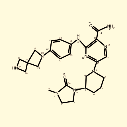 CN1CCN([C@@H]2CCCN(c3cnc(C(N)=O)c(Nc4ccc(N5CC6(CNC6)C5)cc4)n3)C2)C1=O